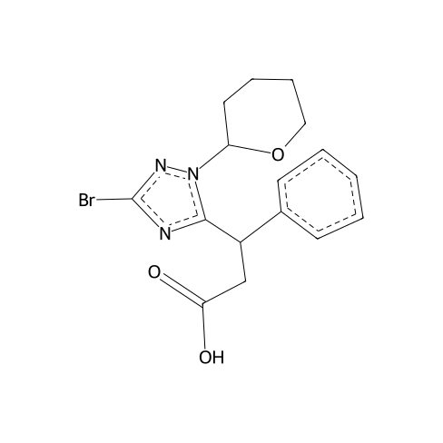 O=C(O)CC(c1ccccc1)c1nc(Br)nn1C1CCCCO1